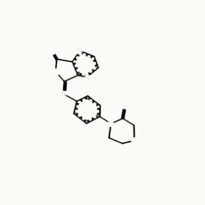 O=C1O/C(=N/c2ccc(N3CCOCC3=O)cc2)c2nccnc21